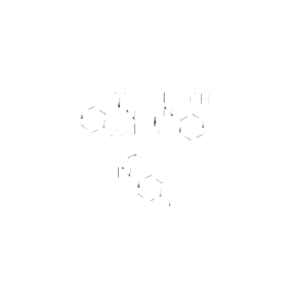 Cc1ccccc1NC(=O)CNC(=O)c1ccccc1OCC(=O)Nc1ccc(Cl)cc1